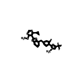 COc1ncnc(C2CC2)c1-c1nc2cccc(Cc3ccc(-c4nc(C(F)(F)F)cn4C)c(F)c3)c2o1